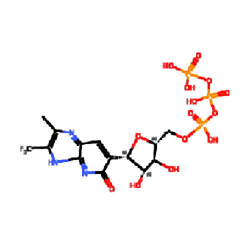 Cc1nc2cc([C@@H]3O[C@H](COP(=O)(O)OP(=O)(O)OP(=O)(O)O)C(O)[C@@H]3O)c(=O)nc-2[nH]c1C(F)(F)F